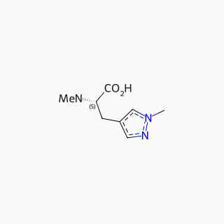 CN[C@@H](Cc1cnn(C)c1)C(=O)O